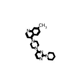 Cc1ccc2c(N3CCN(c4ccnc(N5CCCCC5)n4)CC3)ccnc2c1